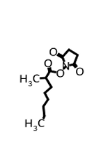 CCCCCCC(C)C(=O)ON1C(=O)CCC1=O